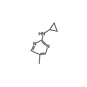 Cc1[c]nc(NC2CC2)nc1